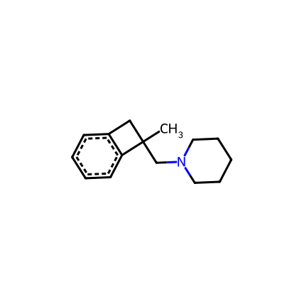 CC1(CN2CCCCC2)Cc2ccccc21